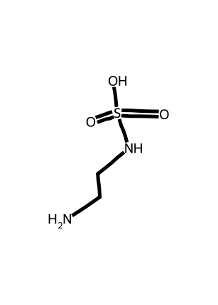 NCCNS(=O)(=O)O